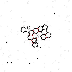 C1=CC(c2ccccc2N(c2ccccc2-c2ccc3oc4ccccc4c3c2)c2ccccc2-c2cccc3cccc(C4CCCCC4)c23)C2Sc3ccccc3C2=C1